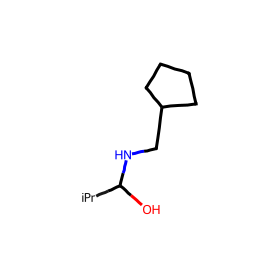 CC(C)C(O)NCC1CCCC1